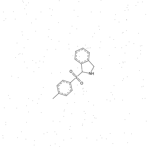 Cc1ccc(S(=O)(=O)C2NCc3ccccc32)cc1